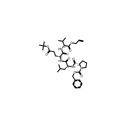 C=CCOC(=O)[C@@H](NC(=O)[C@H](CCC(=O)OC(C)(C)C)NC(=O)[C@H](CC(C)C)NC(=O)[C@@H]1CCCN1C(=O)OCc1ccccc1)C(C)C